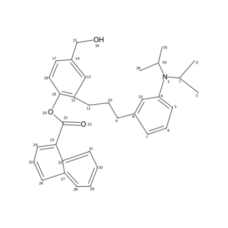 CC(C)N(c1cccc(CCCc2cc(CO)ccc2OC(=O)c2cccc3ccccc23)c1)C(C)C